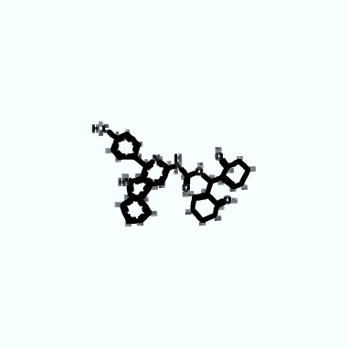 Cc1ccc(-c2nc(NC(=O)OC(C3=CCCCC3=O)C3=CCCCC3=O)cc3c2[nH]c2ccccc23)cc1